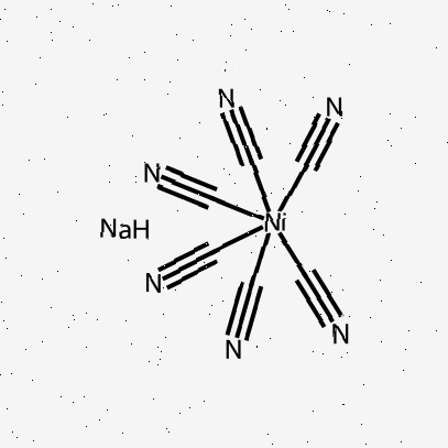 N#[C][Ni]([C]#N)([C]#N)([C]#N)([C]#N)[C]#N.[NaH]